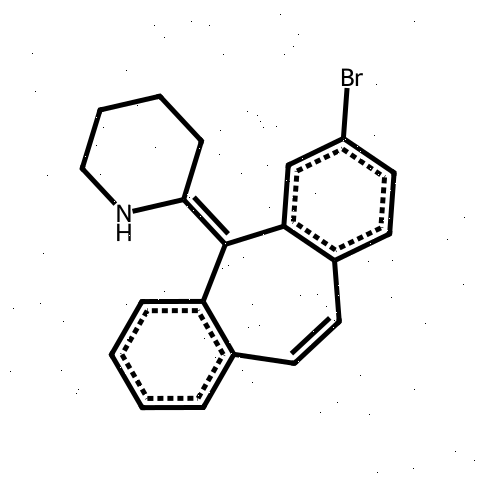 Brc1ccc2c(c1)C(=C1CCCCN1)c1ccccc1C=C2